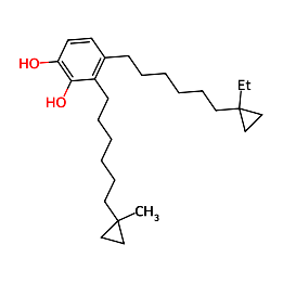 CCC1(CCCCCCc2ccc(O)c(O)c2CCCCCCC2(C)CC2)CC1